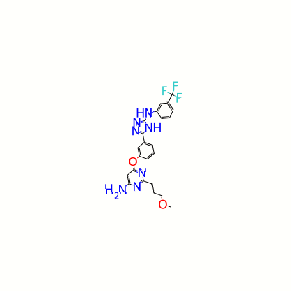 COCCCc1nc(N)cc(Oc2cccc(-c3nnc(Nc4cccc(C(F)(F)F)c4)[nH]3)c2)n1